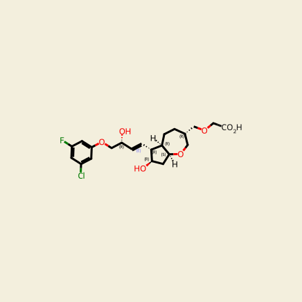 O=C(O)COC[C@H]1CC[C@@H]2[C@@H](/C=C/[C@@H](O)COc3cc(F)cc(Cl)c3)[C@H](O)C[C@@H]2OC1